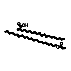 C=C(CCCCCCCCCCCCCCCCCC)C(=O)O.C=CC(=O)OCCCCCCCCCCCCCCCCCCCCCC